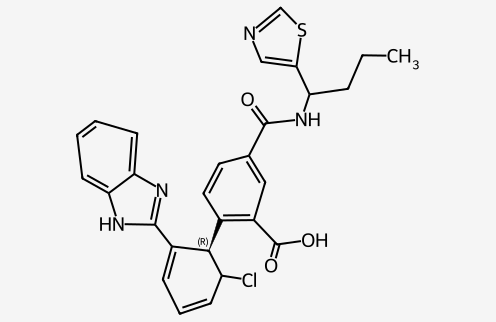 CCCC(NC(=O)c1ccc([C@@H]2C(c3nc4ccccc4[nH]3)=CC=CC2Cl)c(C(=O)O)c1)c1cncs1